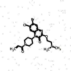 C=CC(=O)N1CCC(n2c(=O)c(OCCN(C)C)nc3cc(Br)c(Cl)cc32)CC1